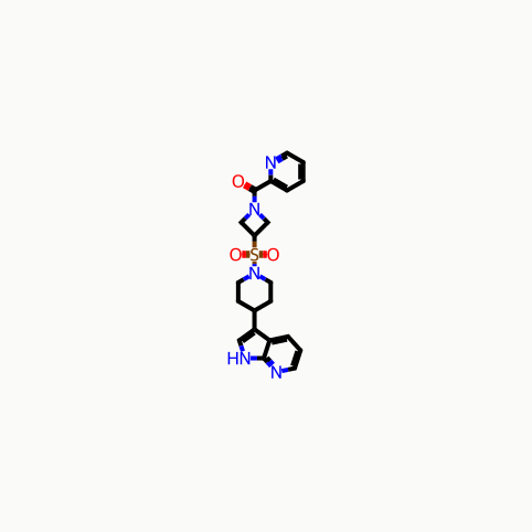 O=C(c1ccccn1)N1CC(S(=O)(=O)N2CCC(c3c[nH]c4ncccc34)CC2)C1